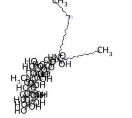 CCCCCCCC/C=C\CCCCCCCCCCCCCC(=O)N[C@@H](CO[C@@H]1OC(CO)[C@@H](O[C@@H]2OC(CO)[C@H](O)[C@H](O[C@@H]3OC(CO)[C@@H](O)[C@H](O[C@@H]4OC(CO)[C@H](O)[C@H](O[C@]5(C(=O)O)CC(O)[C@@H](O)C([C@H](O)[C@H](O)CO)O5)C4O)C3NC(C)=O)C2O)[C@H](O)C1O)[C@H](O)/C=C/CCCCCCCCCCCCC